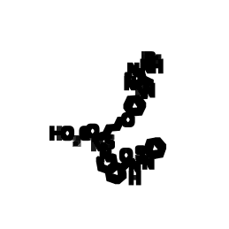 CC(C)Nc1ncnc2c1cnn2-c1ccc(OCCCc2sc(N3CCc4cccc(C(=O)Nc5nc6ccccc6s5)c4C3)nc2OC(=O)O)cc1